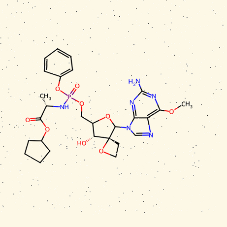 COc1nc(N)nc2c1ncn2C1OC(COP(=O)(N[C@@H](C)C(=O)OC2CCCC2)Oc2ccccc2)[C@@H](O)[C@]12CCO2